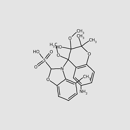 COC1(N2c3c(C)cccc3OC2S(=O)(=O)O)c2cc(N)ccc2OC(C)(C)C1(O)OC